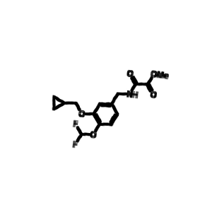 COC(=O)C(=O)NCc1ccc(OC(F)F)c(OCC2CC2)c1